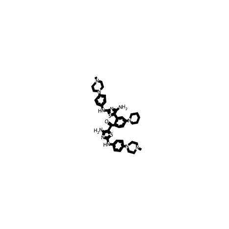 CN1CCN(c2ccc(Nc3nc(N)c(C(=O)c4ccc(N5CCCCC5)cc4-c4sc(Nc5ccc(N6CCN(C)CC6)cc5)nc4N)s3)cc2)CC1